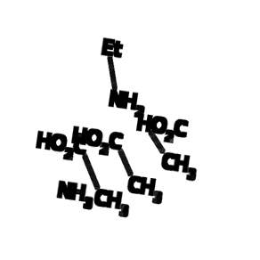 CC(=O)O.CC(=O)O.CC(=O)O.CCN.N